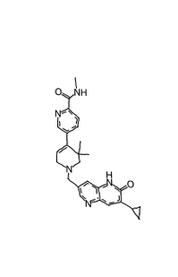 CNC(=O)c1ccc(C2=CCN(Cc3cnc4cc(C5CC5)c(=O)[nH]c4c3)CC2(C)C)cn1